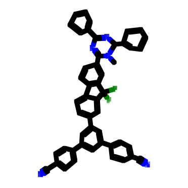 CN1C(c2ccc3c(c2)C(F)(F)c2cc(-c4cc(-c5ccc(C#N)cc5)cc(-c5ccc(C#N)cc5)c4)ccc2-3)=NC(c2ccccc2)=NC1c1ccccc1